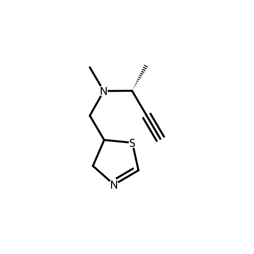 C#C[C@@H](C)N(C)CC1CN=CS1